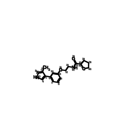 Cc1n[nH]cc1-c1c[c]cc(OCCNC(=O)[C@H]2CCCO2)c1